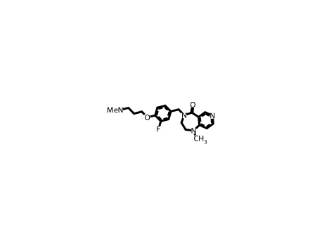 CNCCCOc1ccc(CN2CCN(C)c3ccncc3C2=O)cc1F